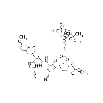 CCN(Cc1ccc(OC)cc1)c1nc(Nc2cc(C#N)cc(N3CCC(NC(=O)OC)C(OC(=O)CCCOP(=O)(OC(C)(C)C)OC(C)(C)C)C3)c2Cl)nn2c(C#N)cnc12